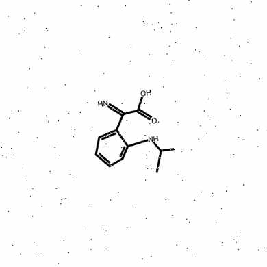 CC(C)Nc1ccccc1C(=N)C(=O)O